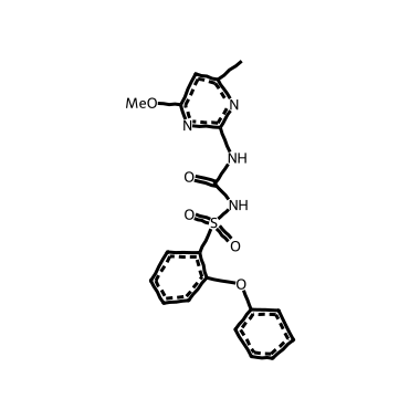 COc1cc(C)nc(NC(=O)NS(=O)(=O)c2ccccc2Oc2ccccc2)n1